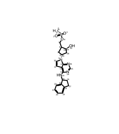 CS(=O)(=O)OCC1C[C@@H](n2ccc3c(NC4CCc5ccccc54)ncnc32)C[C@@H]1O